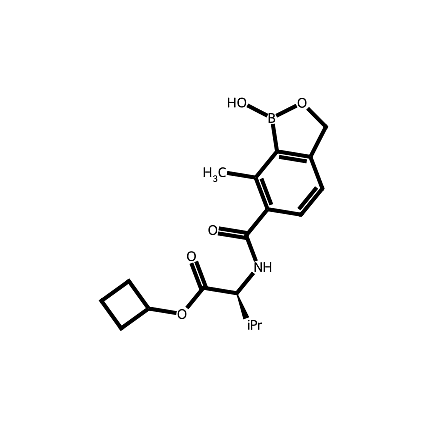 Cc1c(C(=O)N[C@H](C(=O)OC2CCC2)C(C)C)ccc2c1B(O)OC2